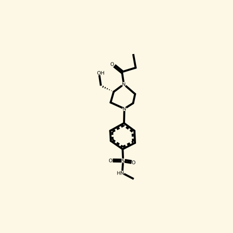 CCC(=O)N1CCN(c2ccc(S(=O)(=O)NC)cc2)C[C@@H]1CO